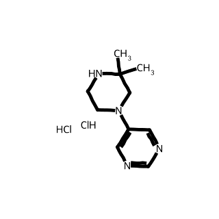 CC1(C)CN(c2cncnc2)CCN1.Cl.Cl